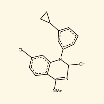 CNC1=NC(O)N(c2cccc(C3CC3)c2)c2cc(Cl)ccc21